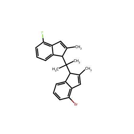 CC1=Cc2c(F)cccc2C1C(C)(C)C1C(C)=Cc2c(Br)cccc21